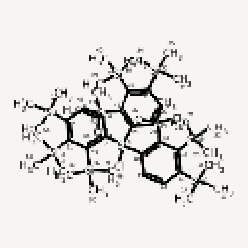 C[Si](C)(C)c1ccc([Si](Cl)(c2ccc([Si](C)(C)C)c([Si](C)(C)C)c2[Si](C)(C)C)c2ccc([Si](C)(C)C)c([Si](C)(C)C)c2[Si](C)(C)C)c([Si](C)(C)C)c1[Si](C)(C)C